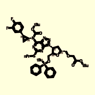 CCCSc1nc(N(C(=O)OC(C)(C)C)[C@@H]2C[C@H]2c2ccc(F)c(F)c2)c2nnn([C@@H]3C[C@H](COCC(=O)OC(C)(C)C)O[C@H]3CO[Si](c3ccccc3)(c3ccccc3)C(C)(C)C)c2n1